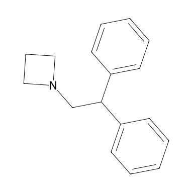 c1ccc(C(CN2CCC2)c2ccccc2)cc1